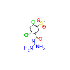 CS(=O)(=O)c1cc(C(=O)N=C(N)N)c(Cl)cc1Cl